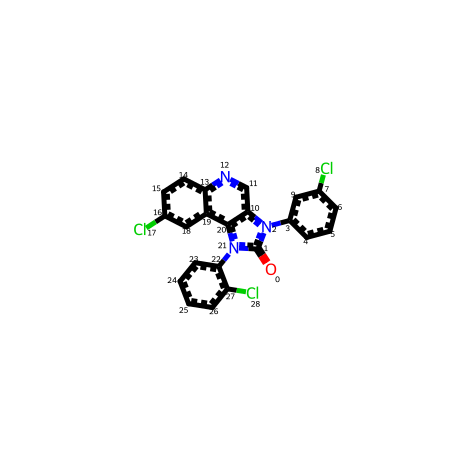 O=c1n(-c2cccc(Cl)c2)c2cnc3ccc(Cl)cc3c2n1-c1ccccc1Cl